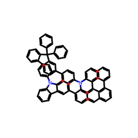 c1ccc(-c2cccc3cccc(-c4ccccc4N(c4ccc(-c5ccc6c(c5)C(c5ccccc5)(c5ccccc5)c5ccccc5-6)cc4)c4ccccc4-c4ccc5c(c4)c4ccccc4n5-c4ccccc4)c23)cc1